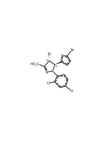 CC[C@H]1C(C(=O)O)=NN(c2ccc(Cl)cc2Cl)[C@@H]1c1ccc(Br)s1